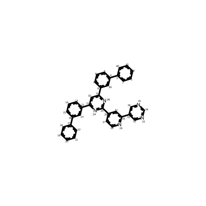 c1ccc(-c2cccc(-c3cc(-c4cccc(-c5ccccc5)c4)nc(-c4ccnc(-c5cncnc5)c4)n3)c2)cc1